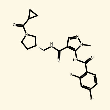 Cn1ncc(C(=O)NC[C@@H]2CCN(C(=O)C3CC3)C2)c1NC(=O)c1ccc(Br)cc1F